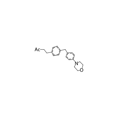 CC(=O)CCc1ccc(Cc2ccc(N3CCOCC3)cc2)cc1